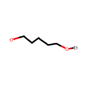 CCOCCCCC[O]